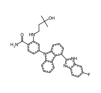 CC(C)(O)CCNc1cc(-n2c3ccccc3c3c(-c4nc5ccc(F)cc5[nH]4)cccc32)ccc1C(N)=O